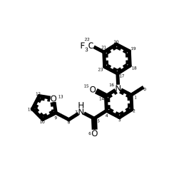 Cc1ccc(C(=O)NCc2ccco2)c(=O)n1-c1cccc(C(F)(F)F)c1